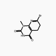 Cn1c2c(c(=O)[nH]c1=O)CCC(Br)=N2